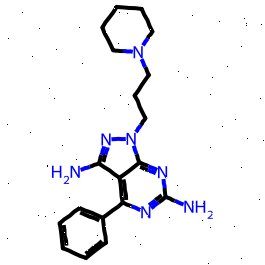 Nc1nc(-c2ccccc2)c2c(N)nn(CCCN3CCCCC3)c2n1